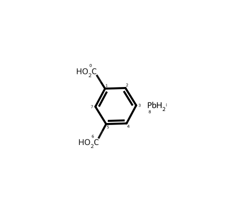 O=C(O)c1cccc(C(=O)O)c1.[PbH2]